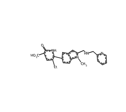 CCc1cc(C(=O)O)c(=O)[nH]c1-c1ccc2c(c1)cc(CNCc1ccccn1)n2C